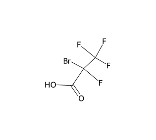 O=C(O)C(F)(Br)C(F)(F)F